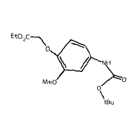 CCOC(=O)COc1ccc(NC(=O)OC(C)(C)C)cc1OC